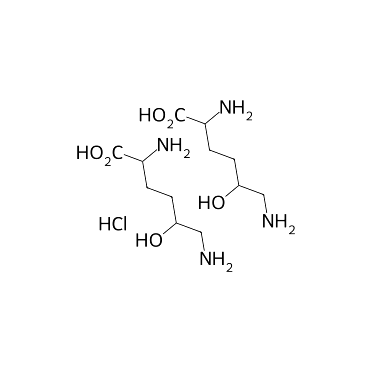 Cl.NCC(O)CCC(N)C(=O)O.NCC(O)CCC(N)C(=O)O